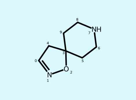 C1=NOC2(C1)CCNCC2